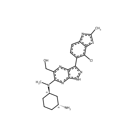 Cc1nc2ccc(-c3n[nH]c4nc(N(C)[C@@H]5CCC[C@@H](N)C5)c(CO)nc34)c(Cl)c2s1